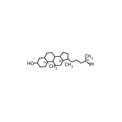 CC(C)[C@H](C)CCCC1CCC2C3CCC4CC(O)CC[C@]4(C)C3CC[C@]12C